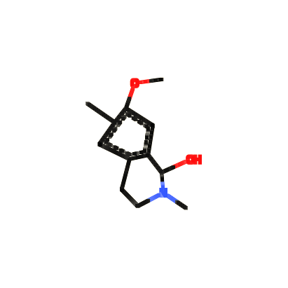 COc1cc2c(cc1C)CCN(C)C2O